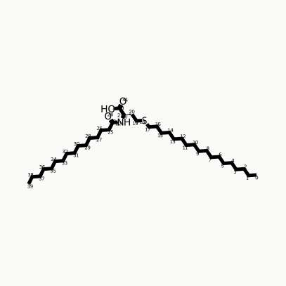 CCCCCCCCCCCCCCCCCCSCC[C@H](NC(=O)CCCCCCCCCCCCCCC)C(=O)O